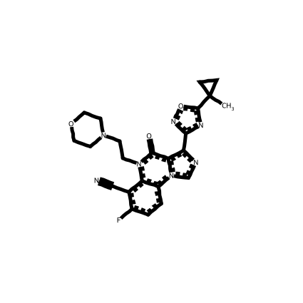 CC1(c2nc(-c3ncn4c3c(=O)n(CCN3CCOCC3)c3c(C#N)c(F)ccc34)no2)CC1